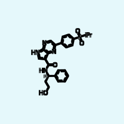 CC(C)S(=O)(=O)c1ccc(-c2cnc3[nH]cc(C(=O)N[C@H](CCO)c4ccccc4)c3n2)cc1